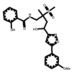 COc1cccc(-c2cc(C(O)CC(C)(CNC(=O)c3ccccc3O)S(C)(=O)=O)no2)c1